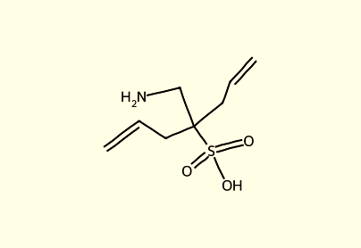 C=CCC(CN)(CC=C)S(=O)(=O)O